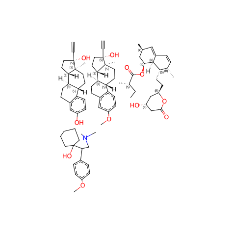 C#C[C@]1(O)CC[C@H]2[C@@H]3CCc4cc(O)ccc4[C@H]3CC[C@@]21C.C#C[C@]1(O)CC[C@H]2[C@@H]3CCc4cc(OC)ccc4[C@H]3CC[C@@]21C.CC[C@H](C)C(=O)O[C@H]1C[C@@H](C)C=C2C=C[C@H](C)[C@H](CC[C@@H]3C[C@@H](O)CC(=O)O3)[C@H]21.COc1ccc(C(CN(C)C)C2(O)CCCCC2)cc1